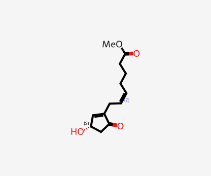 COC(=O)CCC/C=C\CC1=C[C@@H](O)CC1=O